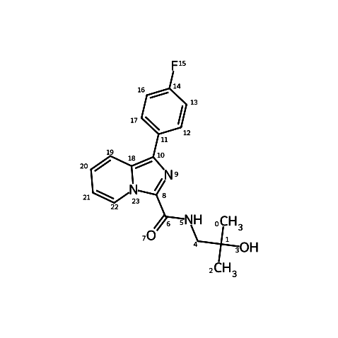 CC(C)(O)CNC(=O)c1nc(-c2ccc(F)cc2)c2ccccn12